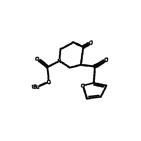 CC(C)(C)OC(=O)N1CCC(=O)C(C(=O)c2ccco2)C1